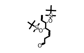 C=C[C@H](O[Si](C)(C)C(C)(C)C)[C@H](/C=C\CC=O)O[Si](C)(C)C(C)(C)C